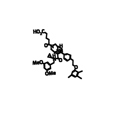 COc1cc(CN(C(=O)C2=C(c3ccc(CCOc4cc(C)cc(C)c4C)cc3)C[C@@H]3CN(C(=O)CCCC(=O)O)C[C@H]2N3)C2CC2)cc(OC)c1